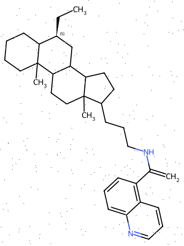 C=C(NCCCC1CCC2C3C[C@H](CC)C4CCCCC4(C)C3CCC12C)c1cccc2ncccc12